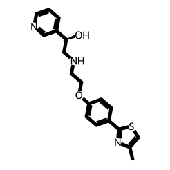 Cc1csc(-c2ccc(OCCNC[C@H](O)c3cccnc3)cc2)n1